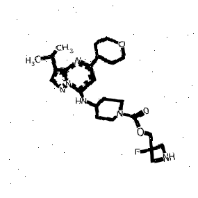 CC(C)c1cnn2c(NC3CCN(C(=O)OCC4(F)CNC4)CC3)cc(C3CCOCC3)nc12